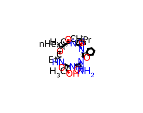 CCCCCC[C@H]1OC[C@@H](CC)NC(=O)[C@H](C(C)O)NC(=O)[C@H](CN)NC(=O)[C@H](C2CCCCC2)NC(=O)[C@H](CC(C)C)N(C)C(=O)[C@@H]1C